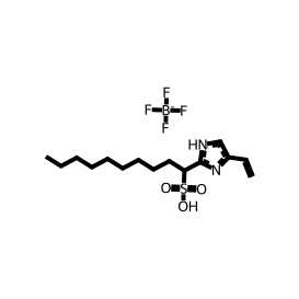 C=Cc1c[nH]c(C(CCCCCCCCC)S(=O)(=O)O)n1.F[B-](F)(F)F